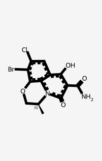 C[C@H]1COc2c(Br)c(Cl)cc3c(O)c(C(N)=O)c(=O)n1c23